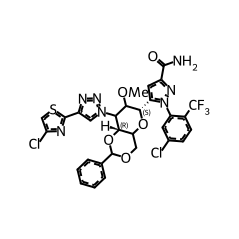 COC1C(n2cc(-c3nc(Cl)cs3)nn2)[C@H]2OC(c3ccccc3)OCC2O[C@H]1c1cc(C(N)=O)nn1-c1cc(Cl)ccc1C(F)(F)F